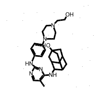 Cc1cnc(Nc2ccc(N3CCN(CCO)CC3)cc2)nc1NC1C2CC3CC1CC(O)(C3)C2